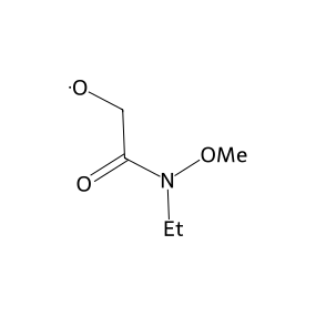 CCN(OC)C(=O)C[O]